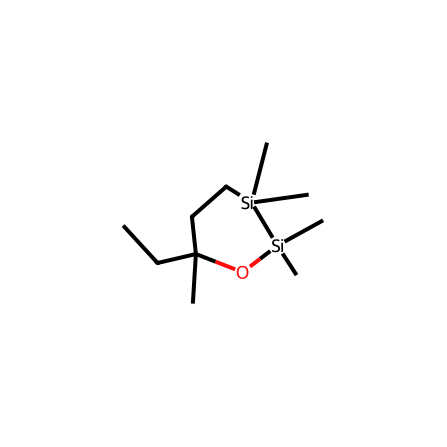 CCC1(C)CC[Si](C)(C)[Si](C)(C)O1